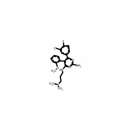 COc1ccccc1-c1c(NCCCN(C)C)nc(N)nc1-c1ccc(F)c(Cl)c1